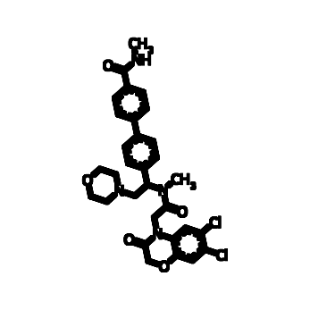 CNC(=O)c1ccc(-c2ccc(C(CN3CCOCC3)N(C)C(=O)CN3C(=O)COc4cc(Cl)c(Cl)cc43)cc2)cc1